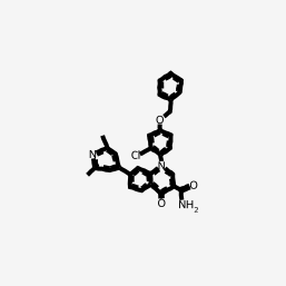 Cc1cc(-c2ccc3c(=O)c(C(N)=O)cn(-c4ccc(OCc5ccccc5)cc4Cl)c3c2)cc(C)n1